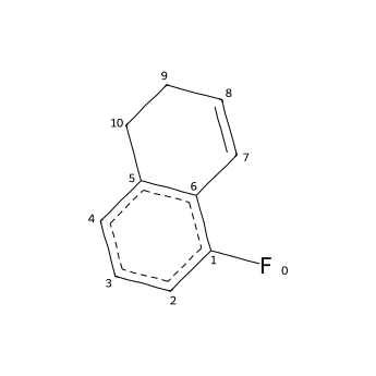 Fc1cccc2c1C=CCC2